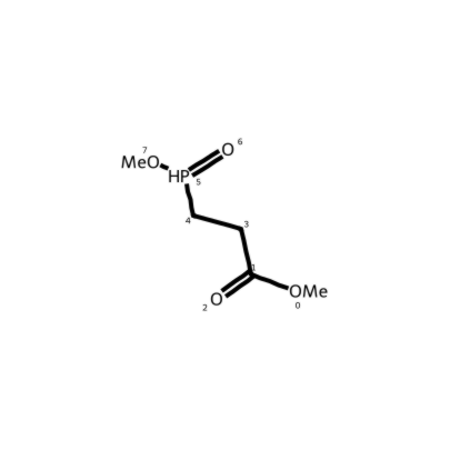 COC(=O)CC[PH](=O)OC